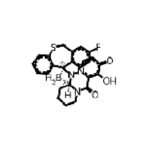 B[C@@]1(N2[C@@H]3CCCCN3C(=O)c3c(O)c(=O)ccn32)c2ccc(F)cc2CSc2ccccc21